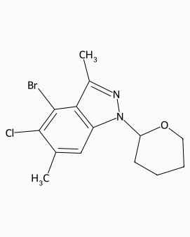 Cc1cc2c(c(C)nn2C2CCCCO2)c(Br)c1Cl